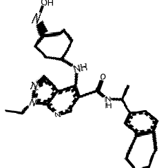 CCn1ncc2c(NC3CCC(=NO)CC3)c(C(=O)NC(C)c3ccc4c(c3)CCCC4)cnc21